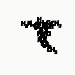 CCc1ccc2ncc(NC(=O)[C@@H](CC(C)C)N(C)C(=O)[C@H]3C[C@H](CN)CN3)cc2c1